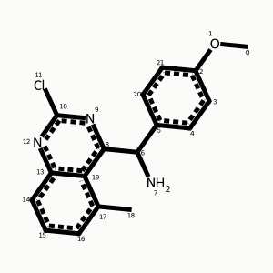 COc1ccc(C(N)c2nc(Cl)nc3cccc(C)c23)cc1